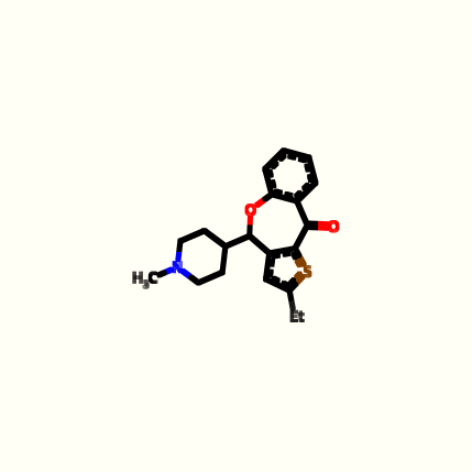 CCc1cc2c(s1)C(=O)c1ccccc1OC2C1CCN(C)CC1